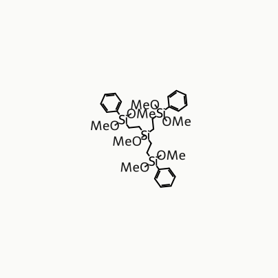 CO[Si](CC[Si](OC)(OC)c1ccccc1)(CC[Si](OC)(OC)c1ccccc1)CC[Si](OC)(OC)c1ccccc1